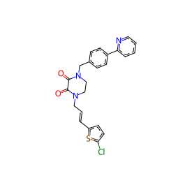 O=C1C(=O)N(Cc2ccc(-c3ccccn3)cc2)CCN1CC=Cc1ccc(Cl)s1